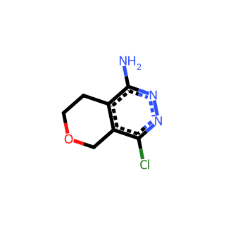 Nc1nnc(Cl)c2c1CCOC2